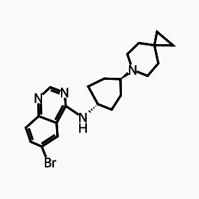 Brc1ccc2ncnc(N[C@H]3CC[C@H](N4CCC5(CC4)CC5)CC3)c2c1